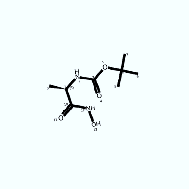 C[C@@H](NC(=O)OC(C)(C)C)C(=O)NO